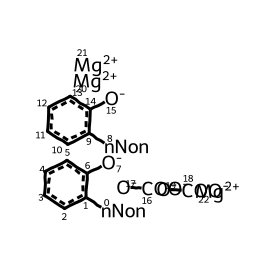 CCCCCCCCCc1ccccc1[O-].CCCCCCCCCc1ccccc1[O-].O=C([O-])[O-].O=C([O-])[O-].[Mg+2].[Mg+2].[Mg+2]